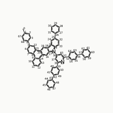 Cc1ccc(-c2ccc3c4ccccc4c4cc5c(cc4c3c2)c2cc(-c3ccccc3)ccc2n5-c2cc(-c3ccc(-c4ccccc4)cc3)nc(-c3ccc(-c4ccccc4)cc3)c2)cc1